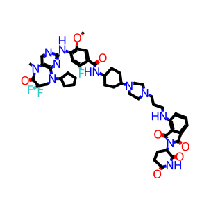 COc1cc(C(=O)NC2CCC(N3CCN(CCCNc4cccc5c4C(=O)N(C4CCC(=O)NC4=O)C5=O)CC3)CC2)c(F)cc1Nc1ncc2c(n1)N(C1CCCC1)CC(F)(F)C(=O)N2C